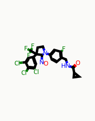 O=NC1N(c2ccc(CNC(=O)C3CC3)c(F)c2)CCC1(c1cc(Cl)c(Cl)c(Cl)c1)C(F)(F)F